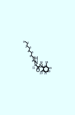 CCCCCCCCCN[C@@H](C)C(=O)N(C)c1c(C)cccc1C